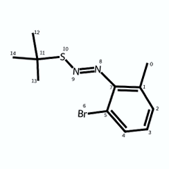 Cc1cccc(Br)c1/N=N/SC(C)(C)C